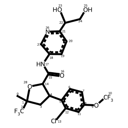 CC1(C(F)(F)F)CC(c2ccc(OC(F)(F)F)cc2Cl)C(C(=O)Nc2ccc(C(O)CO)nc2)O1